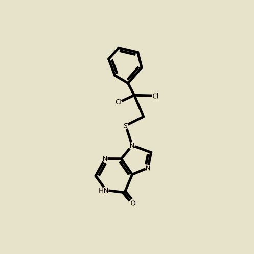 O=c1[nH]cnc2c1ncn2SCC(Cl)(Cl)c1ccccc1